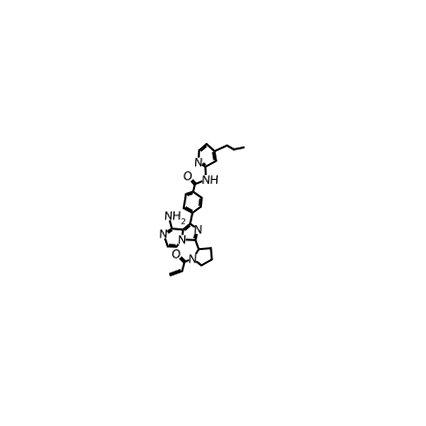 C=CC(=O)N1CCCC1c1nc(-c2ccc(C(=O)Nc3cc(CCC)ccn3)cc2)c2c(N)nccn12